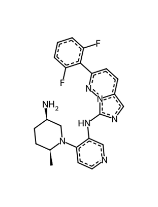 C[C@H]1CC[C@@H](N)CN1c1ccncc1Nc1ncc2ccc(-c3c(F)cccc3F)nn12